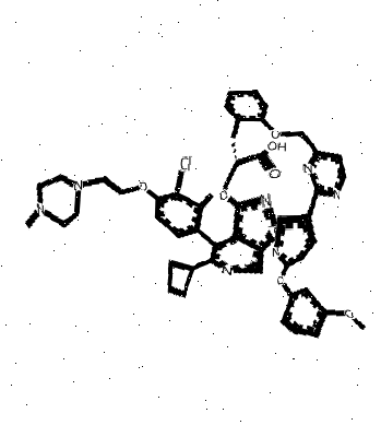 COc1cccc(Oc2ccc(-c3nccc(COc4ccccc4C[C@@H](Oc4nsc5cnc(C6CCC6)c(-c6ccc(OCCN7CCN(C)CC7)c(Cl)c6C)c45)C(=O)O)n3)cn2)c1